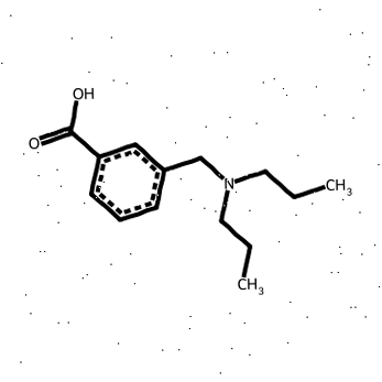 CCCN(CCC)Cc1cccc(C(=O)O)c1